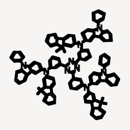 CC1(C)c2ccccc2-c2ccc(N(c3cccc(-c4nc(-c5cccc(N(c6ccc7c(c6)C(C)(C)c6ccccc6-7)c6ccc7c(c6)c6ccccc6n7-c6ccccc6)c5)nc(-c5cccc(N(c6ccc7c(c6)C(C)(C)c6ccccc6-7)c6ccc7c(c6)c6ccccc6n7-c6ccccc6)c5)n4)c3)c3ccc4c(c3)c3ccccc3n4-c3ccccc3)cc21